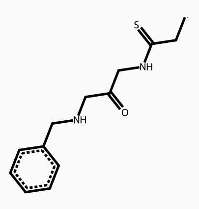 [CH2]CC(=S)NCC(=O)CNCc1ccccc1